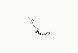 CCCC(=O)OCCCCCCOC(=O)CCN(C)CCOCCN(C)C